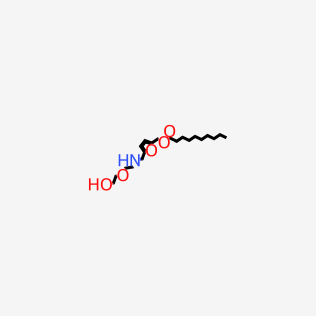 CCCCCCCCCC(=O)OCc1ccc(CNCCOCCO)o1